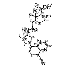 C[C@@H]1CN(c2ccc(C#N)c3nccnc23)C[C@@H]1NC(=O)CC1CCNC(C(=O)O)C1(F)F